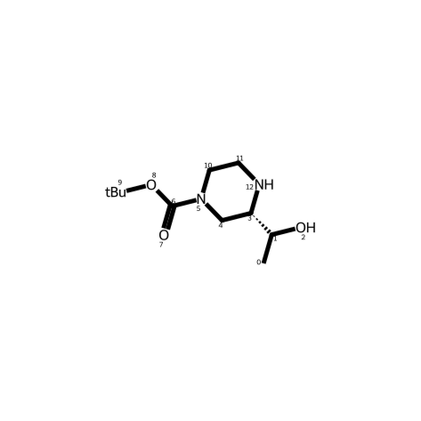 CC(O)[C@@H]1CN(C(=O)OC(C)(C)C)CCN1